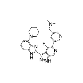 CN(C)Cc1cncc(-c2ncc3[nH]nc(-c4nc5c(N6CCCCC6)cccc5[nH]4)c3c2F)c1